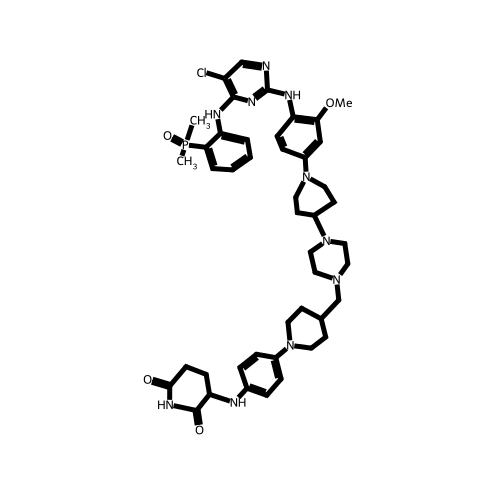 COc1cc(N2CCC(N3CCN(CC4CCN(c5ccc(NC6CCC(=O)NC6=O)cc5)CC4)CC3)CC2)ccc1Nc1ncc(Cl)c(Nc2ccccc2P(C)(C)=O)n1